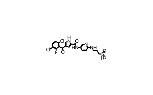 O=C(Nc1ccc(NCCC[SH](=O)=O)nc1)c1cc(C(=O)c2c(Cl)ccc(Cl)c2F)c[nH]1